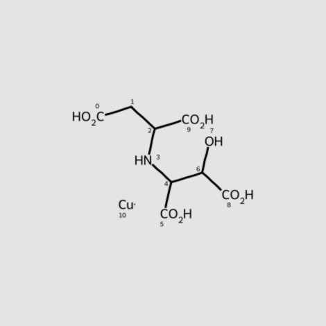 O=C(O)CC(NC(C(=O)O)C(O)C(=O)O)C(=O)O.[Cu]